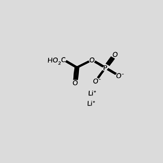 O=C(O)C(=O)OP(=O)([O-])[O-].[Li+].[Li+]